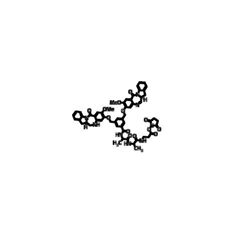 COc1cc2c(cc1OCc1cc(COc3cc4c(cc3OC)C(=O)N3c5ccccc5C[C@H]3CN4)cc(C(=O)NC(C)C(=O)NC(C)C(=O)NCCC(=O)ON3C(=O)CCC3=O)c1)N=C[C@@H]1Cc3ccccc3N1C2=O